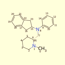 CN1CCCC[C@@H]1CN(c1ccccc1)C1Cc2ccccc2C1